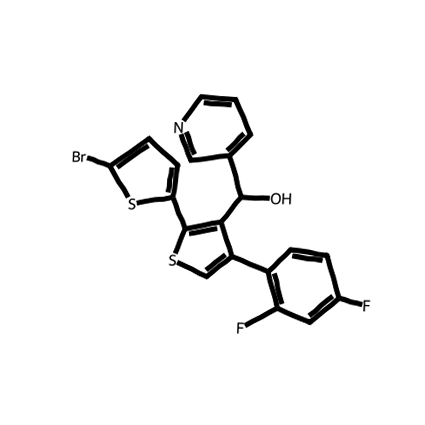 OC(c1cccnc1)c1c(-c2ccc(F)cc2F)csc1-c1ccc(Br)s1